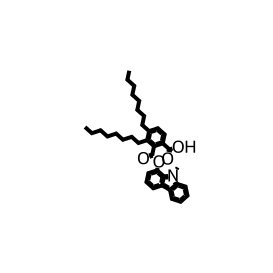 CCCCCCCCc1ccc(C(=O)O)c(C(=O)Oc2cccc3c4ccccc4n(C)c23)c1CCCCCCCC